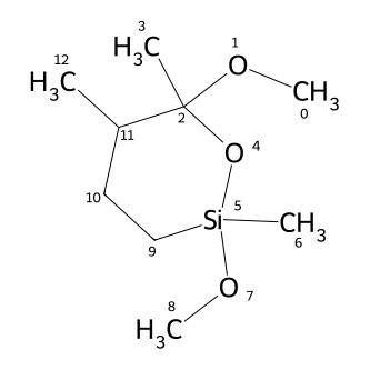 COC1(C)O[Si](C)(OC)CCC1C